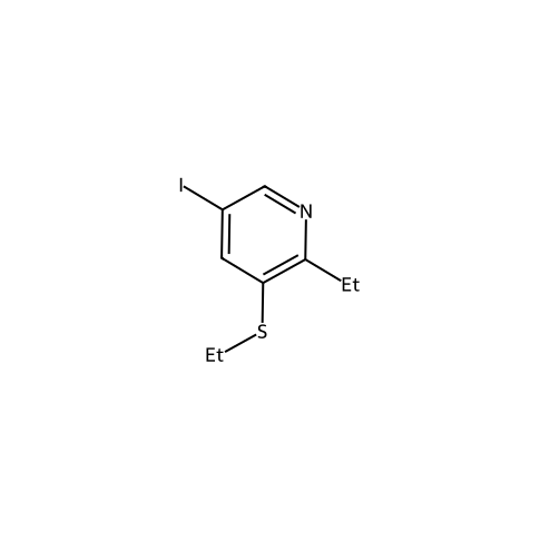 CCSc1cc(I)cnc1CC